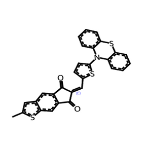 Cc1cc2cc3c(cc2s1)C(=O)/C(=C/c1ccc(N2c4ccccc4Sc4ccccc42)s1)C3=O